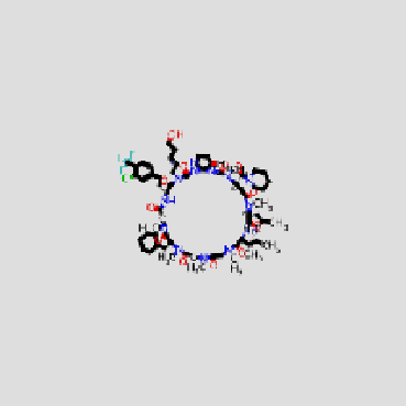 CC[C@H](C)[C@@H]1NC(=O)[C@H](CC(C)C)N(C)C(=O)C[C@@H](C(=O)N2CCCCC2)N(C)C(=O)N(C)C2(CCCC2)NC(=O)N(C/C=C/CCO)C(=O)[C@@H](CCc2ccc(C(F)(F)F)c(Cl)c2)NC(=O)CN(C)C(=O)[C@H](CC2CCCCC2)N(C)C(=O)CN(C)C(=O)CN(C)C1=O